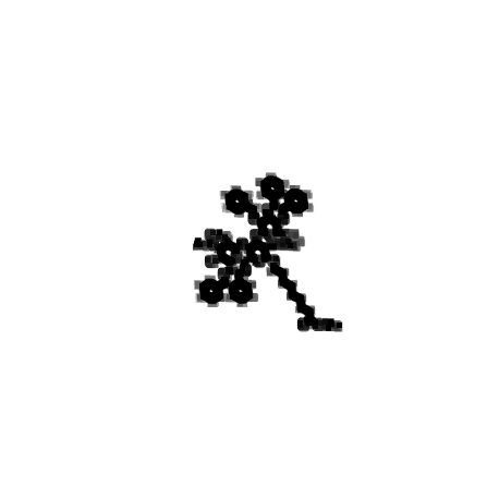 COC(=O)CCCCCCCCO[C@@H]1O[C@H](COCc2ccccc2)[C@@H](O[C@@H]2O[C@H](COCc3ccccc3)[C@H](Cl)[C@H](OC(C)=O)[C@H]2OC(C)=O)[C@H](O[C@@H]2O[C@@H](C)[C@@H](OCc3ccccc3)[C@@H](OCc3ccccc3)[C@@H]2OCc2ccccc2)[C@H]1NC(C)=O